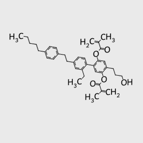 C=C(C)C(=O)Oc1cc(-c2ccc(CCc3ccc(CCCCC)cc3)cc2CC)c(OC(=O)C(=C)C)cc1CCCO